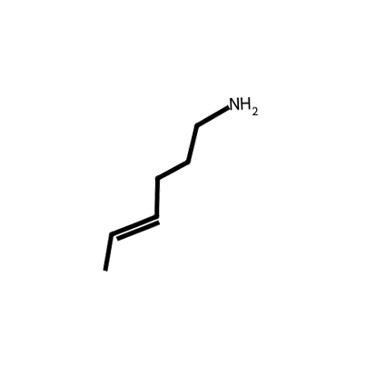 CC=CCCCN